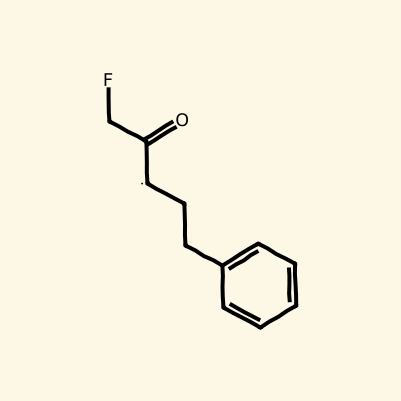 O=C([CH]CCc1ccccc1)CF